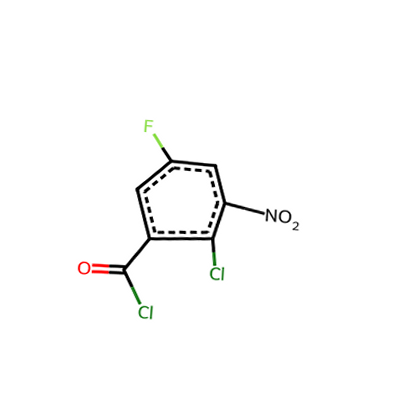 O=C(Cl)c1cc(F)cc([N+](=O)[O-])c1Cl